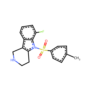 Cc1ccc(S(=O)(=O)n2c3c(c4cccc(F)c42)CNCC3)cc1